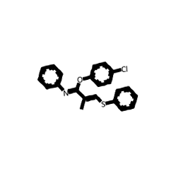 CC(=C\Sc1ccccc1)/C(=N/c1ccccc1)Oc1ccc(Cl)cc1